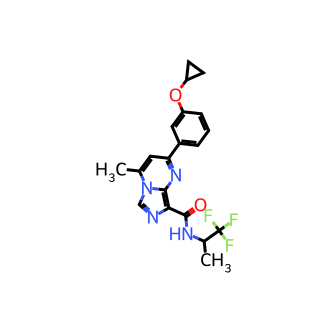 Cc1cc(-c2cccc(OC3CC3)c2)nc2c(C(=O)NC(C)C(F)(F)F)ncn12